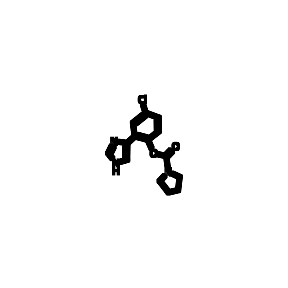 O=C(Oc1ccc(Cl)cc1-c1c[nH]cn1)N1CCCC1